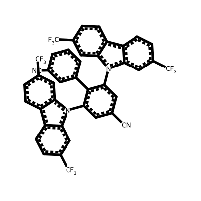 N#Cc1cccc(-c2c(-n3c4cc(C(F)(F)F)ccc4c4ccc(C(F)(F)F)cc43)cc(C#N)cc2-n2c3cc(C(F)(F)F)ccc3c3ccc(C(F)(F)F)cc32)c1